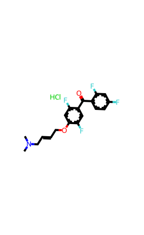 CN(C)CC=CCOc1cc(F)c(C(=O)c2ccc(F)cc2F)cc1F.Cl